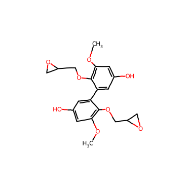 COc1cc(O)cc(-c2cc(O)cc(OC)c2OCC2CO2)c1OCC1CO1